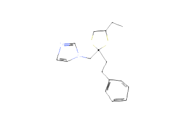 CCC1CSC(CCc2ccccc2)(Cn2ccnc2)S1